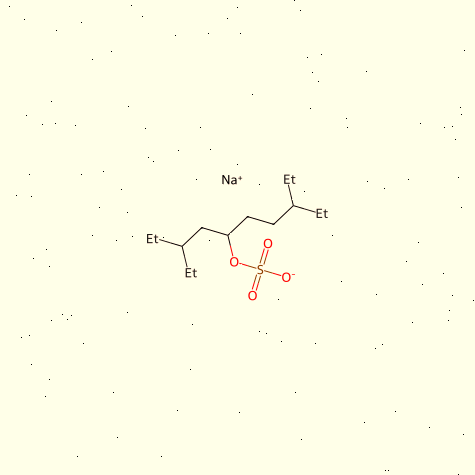 CCC(CC)CCC(CC(CC)CC)OS(=O)(=O)[O-].[Na+]